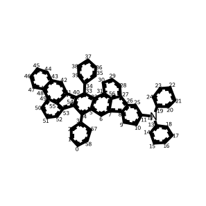 c1ccc(-c2c3cc4c5ccc(N(c6ccccc6)c6ccccc6)cc5c5cccc(c3c(-c3ccccc3)c3c6cc7ccccc7c7cccc(c23)c76)c54)cc1